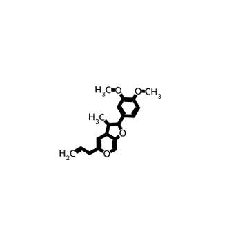 C=CCC1=CC2C(=CO1)OC(c1ccc(OC)c(OC)c1)C2C